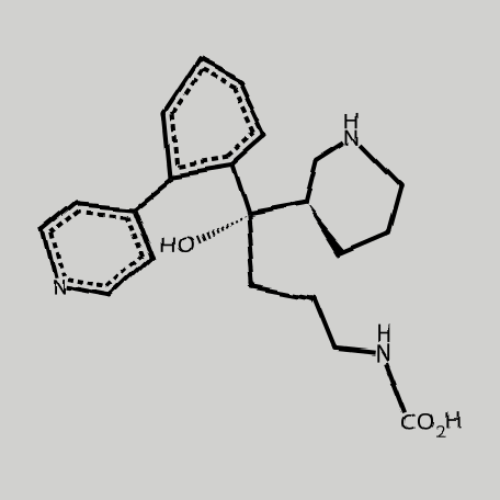 O=C(O)NCCC[C@@](O)(c1ccccc1-c1ccncc1)[C@@H]1CCCNC1